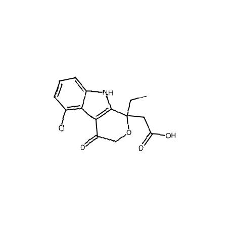 CCC1(CC(=O)O)OCC(=O)c2c1[nH]c1cccc(Cl)c21